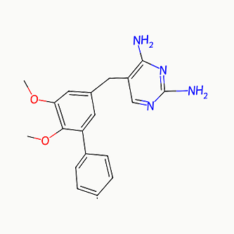 COc1cc(Cc2cnc(N)nc2N)cc(-c2cc[c]cc2)c1OC